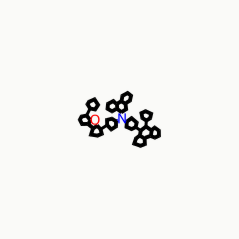 c1ccc(-c2c(-c3ccc(N(c4ccc(-c5cccc6c5oc5c(-c7ccccc7)cccc56)cc4)c4cc5ccccc5c5ccccc45)cc3)c3ccccc3c3ccccc23)cc1